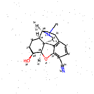 CN1CC[C@]23c4c5ccc(C#N)c4O[C@H]2[C@@H](O)CC[C@H]3[C@H]1C5